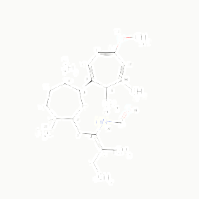 CC/C(C)=C(\CC1C[C@H](C2=CC=C(OC)C=C(C)C2C)[C@@H](C)CCC1C)NC=O